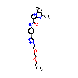 CCCOCCOCCn1cc(-c2ccc(NC(=O)c3ccn4c(C)cc(C)nc34)cc2)nn1